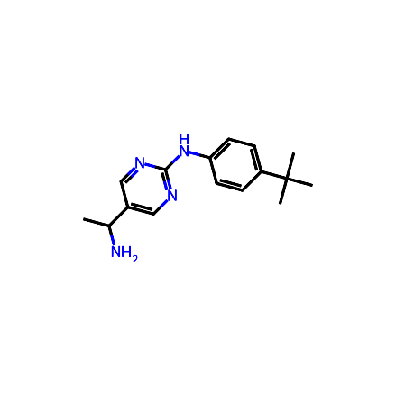 CC(N)c1cnc(Nc2ccc(C(C)(C)C)cc2)nc1